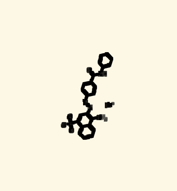 Nc1c(N=Nc2ccc(C(=O)Nc3ccccc3)cc2)cc(S(=O)(=O)[O-])c2ccccc12.[Na+]